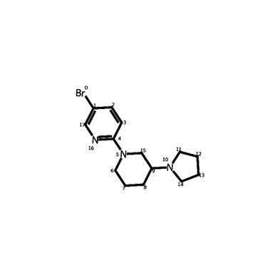 Brc1ccc(N2CCCC(N3CCCC3)C2)nc1